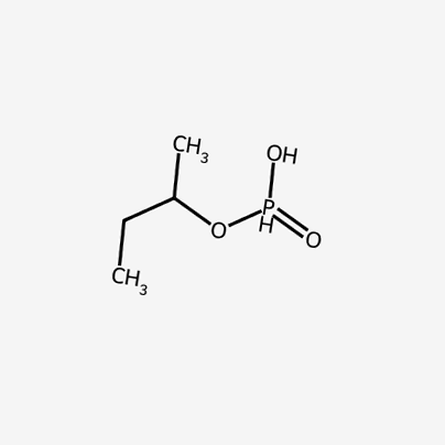 CCC(C)O[PH](=O)O